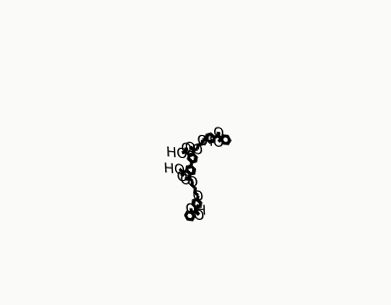 O=C(O)c1cc(-c2ccc(C(=O)OCCOc3ccc(C(=O)C4(O)CCCCC4)cc3)c(C(=O)O)c2)ccc1C(=O)OCCCOc1ccc(C(=O)C2(O)CCCCC2)cc1